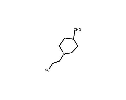 N#CCCN1CCC(C=O)CC1